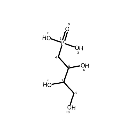 O=P(O)(O)CC(O)C(O)CO